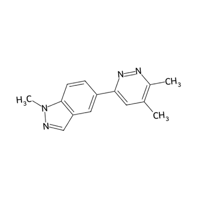 Cc1cc(-c2ccc3c(cnn3C)c2)nnc1C